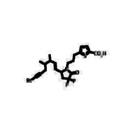 CCC#CCC(C)C(C)/C=C/C1CC(F)(F)C(=O)N1CCCc1ccc(C(=O)O)s1